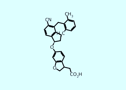 Cc1cccc(C)c1Cc1c(C#N)ccc2c1CC[C@H]2Oc1ccc2c(c1)OCC2CC(=O)O